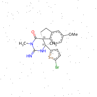 COc1ccc2c(c1)CC[C@]21C(=O)N(C)C(=N)N[C@]1(C)c1ccc(Br)s1